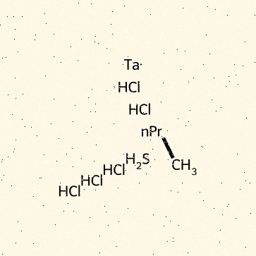 CCCC.Cl.Cl.Cl.Cl.Cl.S.[Ta]